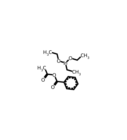 CC(=O)OC(=O)c1ccccc1.CC[O][In]([CH2]C)[O]CC